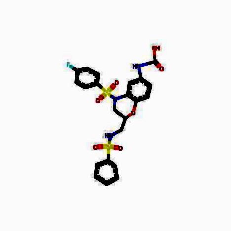 O=C(O)Nc1ccc2c(c1)N(S(=O)(=O)c1ccc(F)cc1)CC(CNS(=O)(=O)c1ccccc1)O2